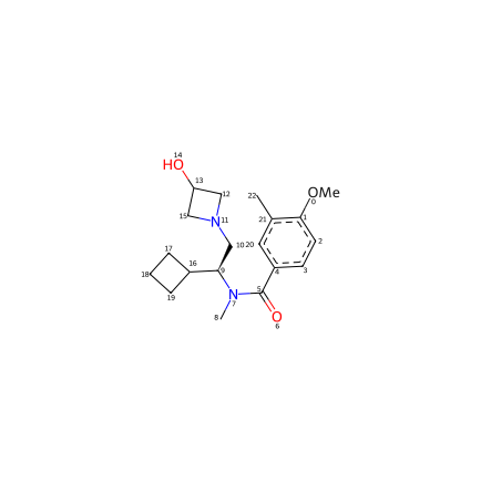 COc1ccc(C(=O)N(C)[C@H](CN2CC(O)C2)C2CCC2)cc1C